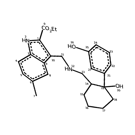 CCOC(=O)c1[nH]c2ccc(C)cc2c1CNCC1CCCCC1(O)c1cccc(O)c1